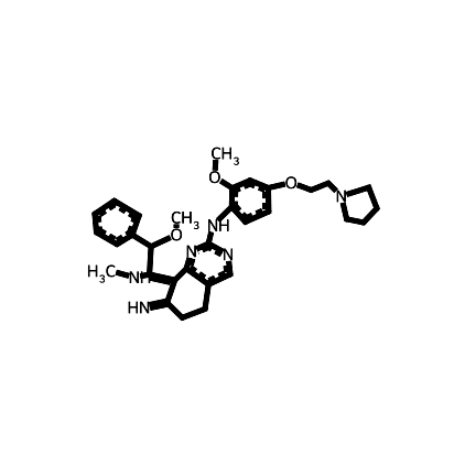 CN/C(=C1\C(=N)CCc2cnc(Nc3ccc(OCCN4CCCC4)cc3OC)nc21)C(OC)c1ccccc1